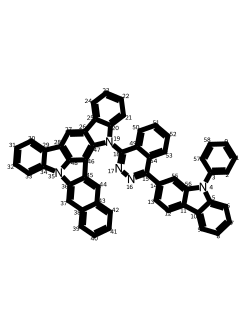 c1ccc(-n2c3ccccc3c3ccc(-c4nnc(-n5c6ccccc6c6cc7c8ccccc8n8c9cc%10ccccc%10cc9c(c65)c78)c5ccccc45)cc32)cc1